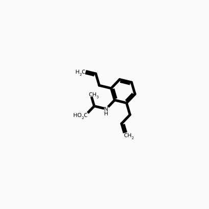 C=CCc1cccc(CC=C)c1NC(C)C(=O)O